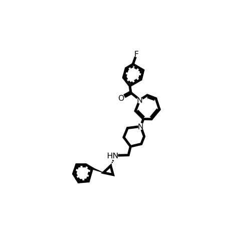 O=C(c1ccc(F)cc1)N1C=CC=CC(N2CCC(CN[C@@H]3C[C@H]3c3ccccc3)CC2)=C1